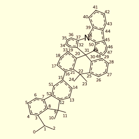 CC(C)c1cccc2c1C(C)(C)c1ccc(-c3cccc4c3C(C)(C)c3ccccc3C43c4ccccc4-n4c5ccccc5c5cccc3c54)cc1-2